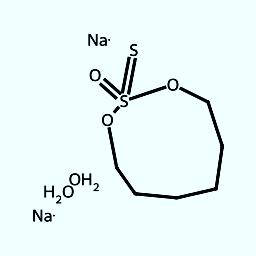 O.O.O=S1(=S)OCCCCCCO1.[Na].[Na]